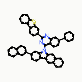 c1ccc(-c2ccc3c(-n4c5cc(-c6ccc7ccccc7c6)ccc5c5cc6ccccc6cc54)nc(-c4ccc5c(c4)sc4ccccc45)nc3c2)cc1